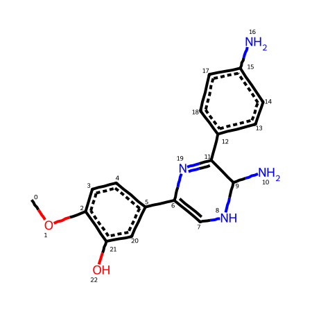 COc1ccc(C2=CNC(N)C(c3ccc(N)cc3)=N2)cc1O